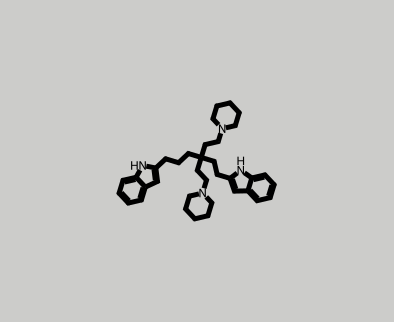 c1ccc2[nH]c(CCCC(CCc3cc4ccccc4[nH]3)(CCN3CCCCC3)CCN3CCCCC3)cc2c1